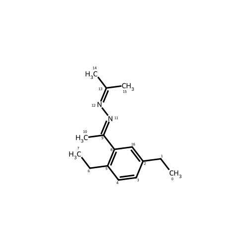 CCc1ccc(CC)c(/C(C)=N/N=C(C)C)c1